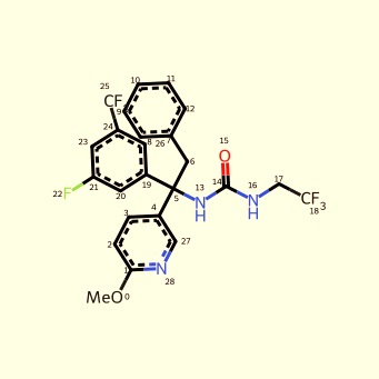 COc1ccc(C(Cc2ccccc2)(NC(=O)NCC(F)(F)F)c2cc(F)cc(C(F)(F)F)c2)cn1